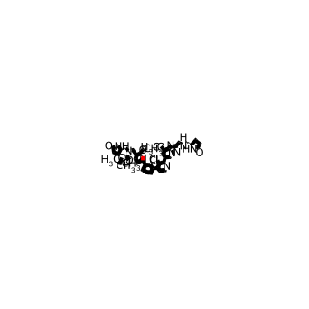 COc1nc(-c2cccc(-c3ccnc(-c4cc(OC)c5nc(CNC[C@@H]6CCC(=O)N6)nn5c4)c3Cl)c2Cl)ccc1CN(C[C@@H]1CCC(=O)N1)C(=O)OC(C)(C)C